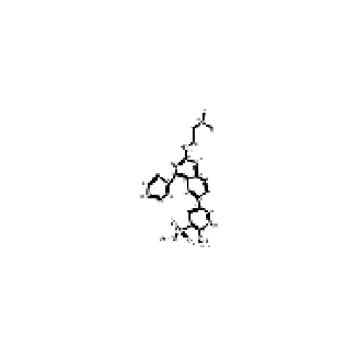 CNS(=O)(=O)c1cc(-c2ccc3nc(NCCN(C)C)nc(-c4ccncc4)c3c2)cnc1N